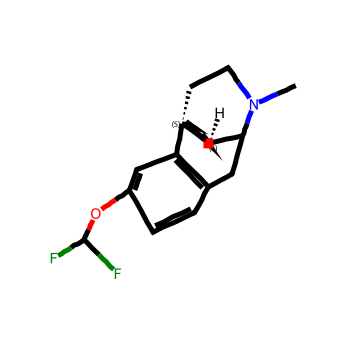 CN1CC[C@@]23CCCC[C@@H]2C1Cc1ccc(OC(F)F)cc13